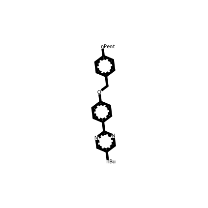 CCCCCc1ccc(COc2ccc(-c3ncc(CCCC)cn3)cc2)cc1